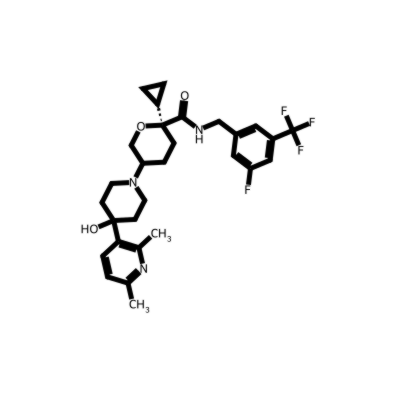 Cc1ccc(C2(O)CCN(C3CC[C@@](C(=O)NCc4cc(F)cc(C(F)(F)F)c4)(C4CC4)OC3)CC2)c(C)n1